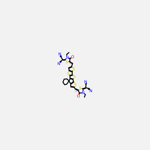 CCn1c(=C(C#N)C#N)s/c(=C\c2cc3c(s2)-c2sc4c(sc5cc(/C=c6\sc(=C(C#N)C#N)n(CC)c6=O)sc54)c2C32CCCCC2)c1=O